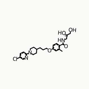 Cc1cc(OCCCC2CCN(c3ccc(Cl)cn3)CC2)ccc1C(=O)NC[C@@H](O)CO